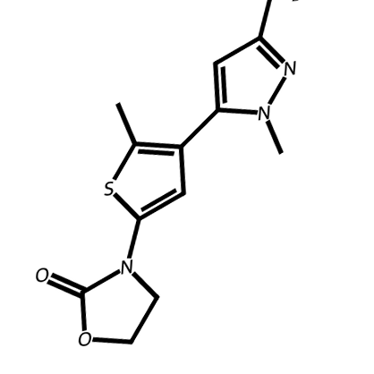 CCOC(=O)c1cc(-c2cc(N3CCOC3=O)sc2C)n(C)n1